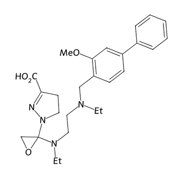 CCN(CCN(CC)C1(N2CCC(C(=O)O)=N2)CO1)Cc1ccc(-c2ccccc2)cc1OC